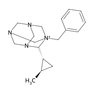 C[C@@H]1C[C@H]1C1N2CN3CN(C2)C[N+]1(Cc1ccccc1)C3